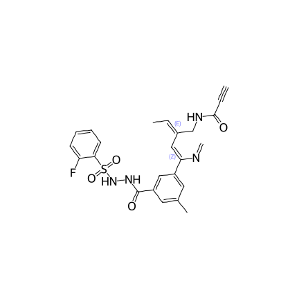 C#CC(=O)NCC(/C=C(\N=C)c1cc(C)cc(C(=O)NNS(=O)(=O)c2ccccc2F)c1)=C/C